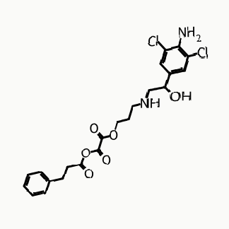 Nc1c(Cl)cc(C(O)CNCCCOC(=O)C(=O)OC(=O)CCc2ccccc2)cc1Cl